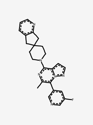 Cc1nc(N2CCC3(CC2)Cc2cccnc2C3)c2ccnn2c1-c1cncc(F)c1